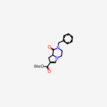 COC(=O)C1=CN2CCN(Cc3ccccc3)C(=O)C2C1